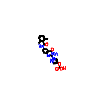 Cc1cccc(C)c1C(=O)Nc1ccc2nc(-n3cc(OC(=O)O)cn3)[nH]c(=O)c2c1